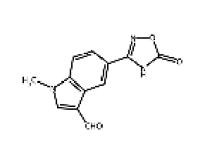 Cn1cc(C=O)c2cc(-c3noc(=O)[nH]3)ccc21